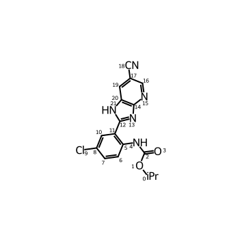 CC(C)OC(=O)Nc1ccc(Cl)cc1-c1nc2ncc(C#N)cc2[nH]1